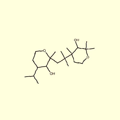 CC(C)C1CCOC(C)(CC(C)(C)C2(C)CCOC(C)(C)C2O)C1O